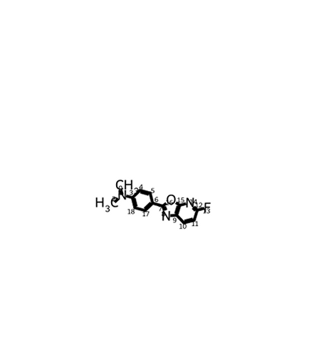 CN(C)c1ccc(-c2nc3ccc(F)nc3o2)cc1